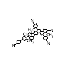 Cc1cc(C#N)ccc1-c1cc2c3cc4c(cc3c(-c3ccc(C#N)cc3C)cc2c2ccc(C#N)cc12)-c1ccc(-c2c(C)cc(-c3ccc(C#N)cc3)cc2C)c2cccc-4c12